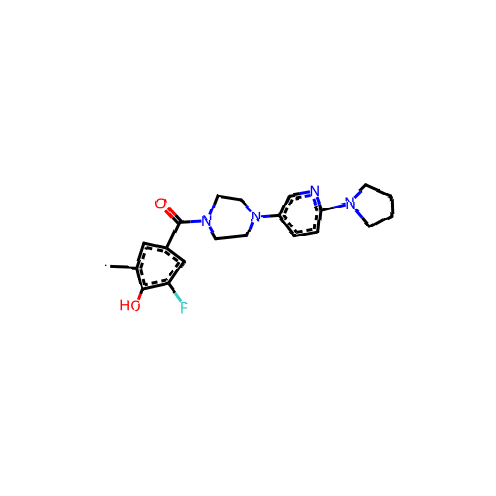 [CH2]c1cc(C(=O)N2CCN(c3ccc(N4CCCC4)nc3)CC2)cc(F)c1O